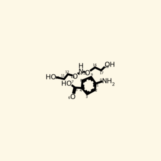 Nc1ccc(C(=O)O)cc1.OCCONOCCO